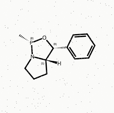 C[P@]1O[C@H](c2ccccc2)[C@@H]2CCCN21